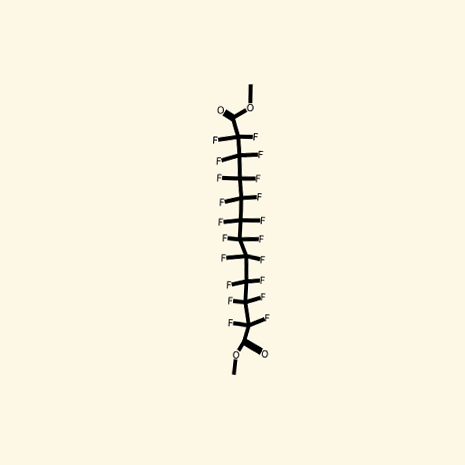 COC(=O)C(F)(F)C(F)(F)C(F)(F)C(F)(F)C(F)(F)C(F)(F)C(F)(F)C(F)(F)C(F)(F)C(F)(F)C(=O)OC